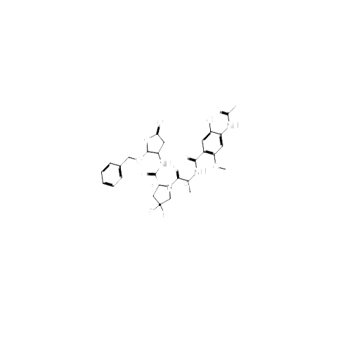 COc1cc(NC(C)=O)c(Cl)cc1C(=O)N[C@@H](C)C(=O)N1CC(F)(F)C[C@H]1C(=O)NC1CC(=O)OC1OCc1ccccc1